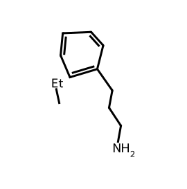 CCC.NCCCc1ccccc1